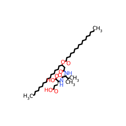 CCCCCCCCCCCCCCCC(=O)OC(CCCCCCCCCCCCCCC)CC(=O)N[C@@H](C(=O)N[C@H](CCC(=O)O)C(=O)O)C(C)C